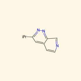 CC(C)c1cc2ccncc2nn1